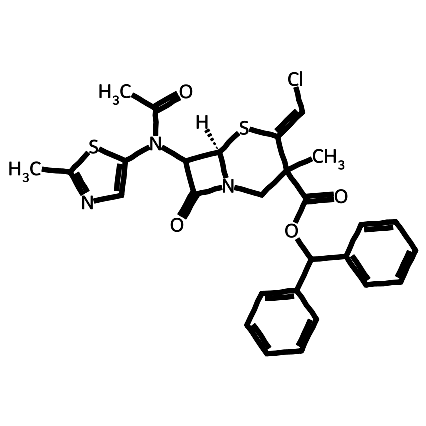 CC(=O)N(c1cnc(C)s1)C1C(=O)N2CC(C)(C(=O)OC(c3ccccc3)c3ccccc3)C(=CCl)S[C@H]12